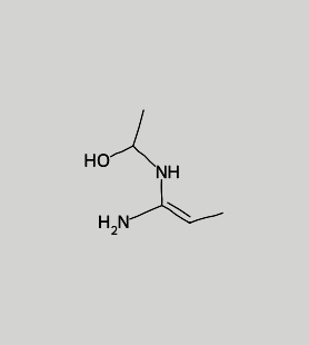 CC=C(N)NC(C)O